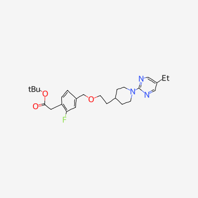 CCc1cnc(N2CCC(CCOCc3ccc(CC(=O)OC(C)(C)C)c(F)c3)CC2)nc1